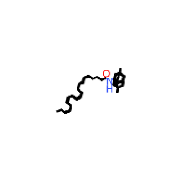 CC/C=C\C/C=C\C/C=C\C/C=C\C/C=C\CCCC(=O)NC12CC3CC(C)(CC(C)(C3)C1)C2